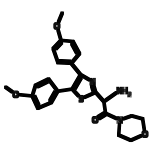 COc1ccc(-c2nc(C(N)C(=O)N3CCOCC3)sc2-c2ccc(OC)cc2)cc1